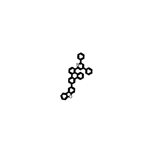 c1ccc(-c2cc(-c3ccccc3)nc(-c3cccc4c5ccc(-c6ccc7oc8ccccc8c7c6)cc5c5ccccc5c34)c2)cc1